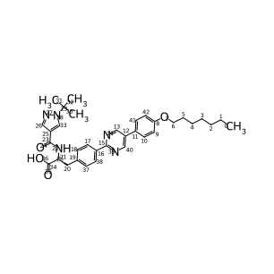 CCCCCCCOc1ccc(-c2cnc(-c3ccc(C[C@H](NC(=O)c4cnn(C(C)(C)C)c4)C(=O)O)cc3)nc2)cc1